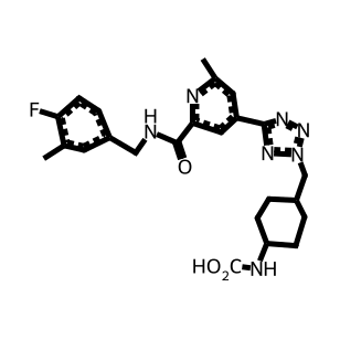 Cc1cc(-c2nnn(CC3CCC(NC(=O)O)CC3)n2)cc(C(=O)NCc2ccc(F)c(C)c2)n1